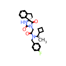 C[C@@H](C1CCC1)N(Cc1ccc(F)cc1)C(=O)CN1C(=O)N[C@]2(CCc3ccccc32)C1=O